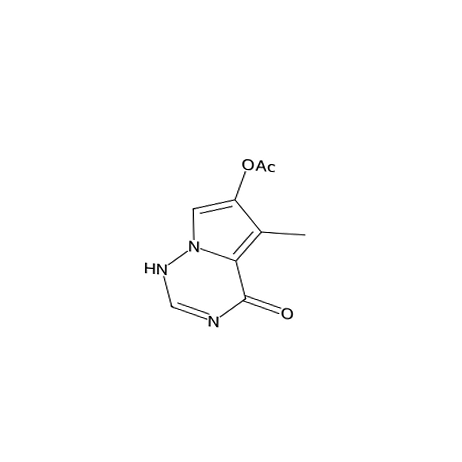 CC(=O)Oc1cn2[nH]cnc(=O)c2c1C